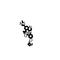 Cc1ncc(-c2cc(C3(NC(=O)c4cc(OC[C@@H]5CCN5C)ccc4C)CC3)c3cccnc3c2)s1